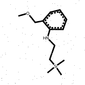 COCc1ccccc1NCC[Si](C)(C)C